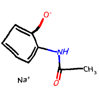 CC(=O)Nc1ccccc1[O-].[Na+]